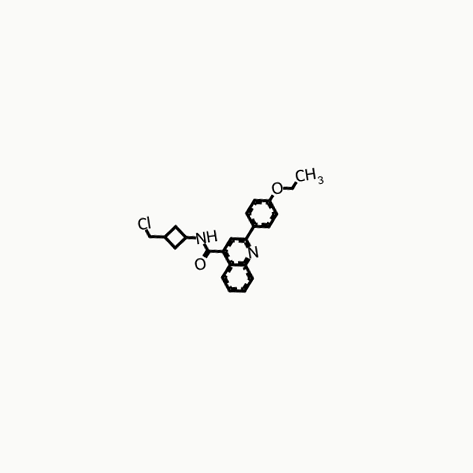 CCOc1ccc(-c2cc(C(=O)NC3CC(CCl)C3)c3ccccc3n2)cc1